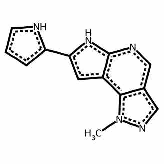 Cn1ncc2cnc3[nH]c(-c4ccc[nH]4)cc3c21